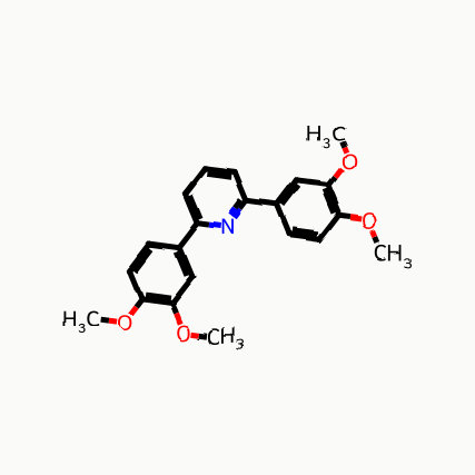 COc1ccc(-c2cccc(-c3ccc(OC)c(OC)c3)n2)cc1OC